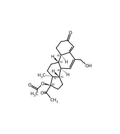 CC(=O)O[C@]1(C(C)=O)CC[C@H]2[C@@H]3C=C(CO)C4=CC(=O)CC[C@@H]4[C@H]3CC[C@@]21C